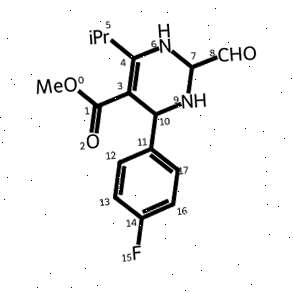 COC(=O)C1=C(C(C)C)NC(C=O)NC1c1ccc(F)cc1